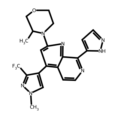 CC1COCCN1c1cc(-c2cn(C)nc2C(F)(F)F)c2ccnc(-c3ccn[nH]3)c2n1